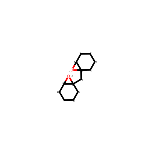 [CH](C12CCCCC1O2)C12CCCCC1O2